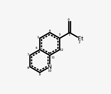 C=C(CC)c1ccc2cccnc2c1